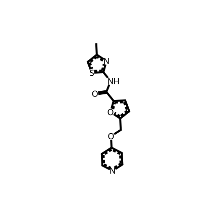 Cc1csc(NC(=O)c2ccc(COc3ccncc3)o2)n1